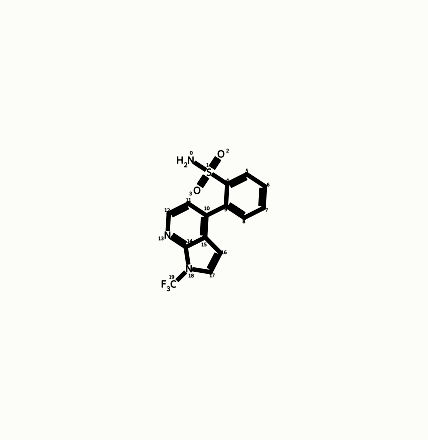 NS(=O)(=O)c1ccccc1-c1ccnc2c1ccn2C(F)(F)F